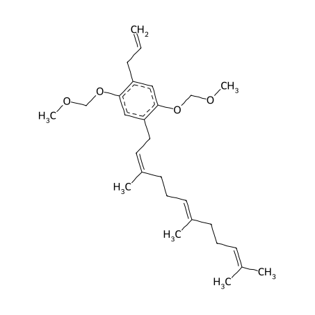 C=CCc1cc(OCOC)c(C/C=C(/C)CC/C=C(\C)CCC=C(C)C)cc1OCOC